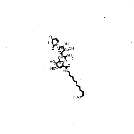 CCCCCCCC/C=C\CCCCCCCCNC(=O)C1=C[C@H](O)[C@H](O)[C@@H](O[C@@H](C(N)=O)[C@H]2O[C@@H](n3ccc(=O)[nH]c3=O)[C@H](O)[C@@H]2CO)O1